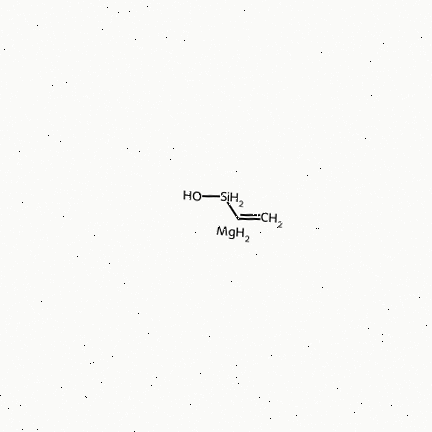 C=C[SiH2]O.[MgH2]